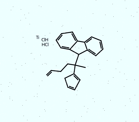 C=CCCC(C)(C1=CC=CC1)C1c2ccccc2-c2ccccc21.Cl.Cl.[Ti]